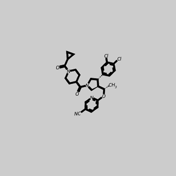 C[C@H](Oc1ccc(C#N)cn1)[C@H]1CN(C(=O)C2CCN(C(=O)C3CC3)CC2)C[C@@H]1c1ccc(Cl)c(Cl)c1